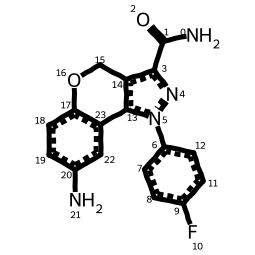 NC(=O)c1nn(-c2ccc(F)cc2)c2c1COc1ccc(N)cc1-2